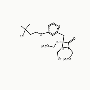 CCC(C)(C)CCOc1ccnc(CC2(OCOC)C(=O)N(COC)[C@H]2CC(C)C)c1